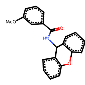 COc1cccc(C(=O)NC2c3ccccc3Oc3ccccc32)c1